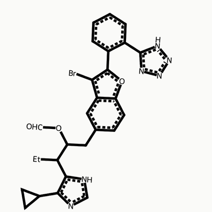 CCC(c1[nH]cnc1C1CC1)C(Cc1ccc2oc(-c3ccccc3-c3nnn[nH]3)c(Br)c2c1)OC=O